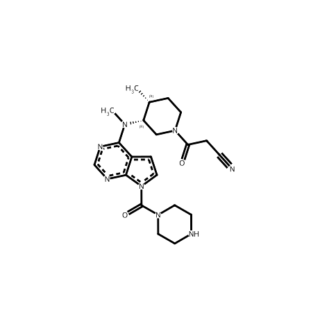 C[C@@H]1CCN(C(=O)CC#N)C[C@@H]1N(C)c1ncnc2c1ccn2C(=O)N1CCNCC1